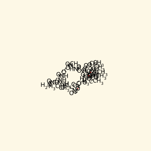 CC[C@H](C)C([C@@H](CC(=O)N1C[C@@H](OC(=O)NCCN(C)C(=O)OCc2ccc(NC(=O)[C@H](CCCNC(N)=O)NC(=O)[C@@H](NC(=O)CCCCCN3C(=O)C=CC3=O)C(C)C)cc2)C[C@H]1[C@H](OC)[C@@H](C)C(=O)NCC(=O)c1ccc(OC)c(F)c1)OC)N(C)C(=O)[C@@H](NC(=O)[C@H](C(C)C)N(C)C)C(C)C